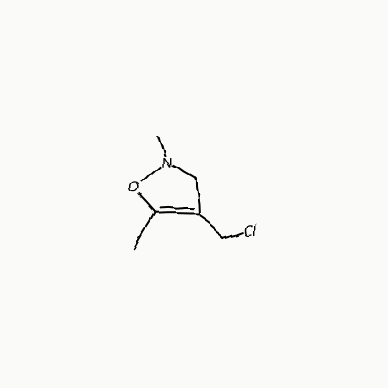 CC1=C(CCl)CN(C)O1